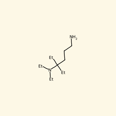 CCN(CC)C(CC)(CC)CCCN